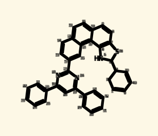 C1=CCC(C2Nc3c(ccc4ccc5ccc(-c6nc(-c7ccccc7)cc(-c7ccccc7)n6)cc5c34)S2)C=C1